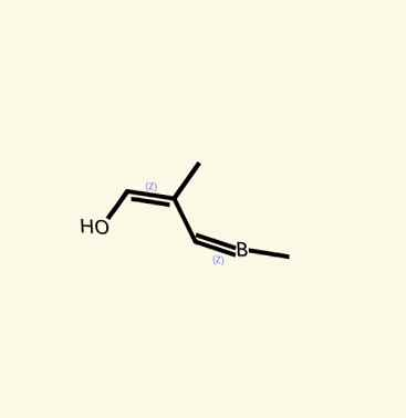 C/B=C\C(C)=C/O